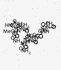 CN1CCc2nc(-n3ncc4c(C(N)=O)cccc43)nc(NCc3ccccc3)c21.COc1nc2c(C(N)=O)cccc2n1-c1nc2c(c(NCc3ccccc3)n1)N(C)CC2.Cc1cc2c(C(=O)Nc3nc4c(c(NCc5ccccc5)n3)C(C)CCC4)cccc2[nH]1.NC(=O)c1c[nH]cn1